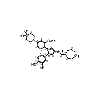 COc1cc(N2CCS(=O)(=O)CC2)ccc1-n1nc(NCC2CCCNCC2)cc1-c1ccc(C#N)c(F)c1